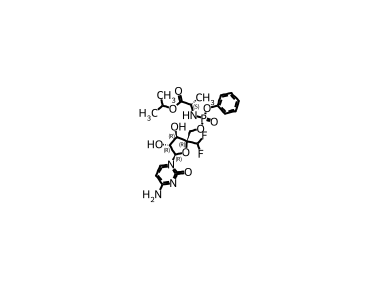 CC(C)OC(=O)[C@H](C)NP(=O)(OC[C@@]1(C(F)F)O[C@@H](n2ccc(N)nc2=O)[C@H](O)[C@H]1O)Oc1ccccc1